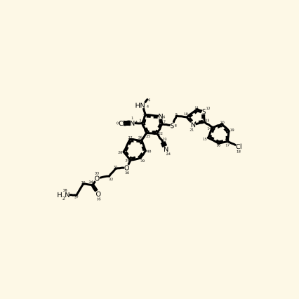 [C-]#[N+]c1c(NC)nc(SCc2csc(-c3ccc(Cl)cc3)n2)c(C#N)c1-c1ccc(OCCOC(=O)CCN)cc1